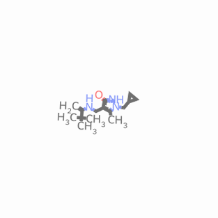 C=C(NCc1c(C)n(CC2CC2)[nH]c1=O)C(C)(C)C